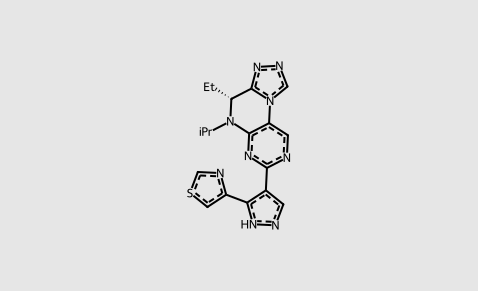 CC[C@@H]1c2nncn2-c2cnc(-c3cn[nH]c3-c3cscn3)nc2N1C(C)C